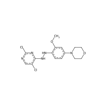 COc1cc(N2CCOCC2)ccc1NNc1nc(Cl)ncc1Cl